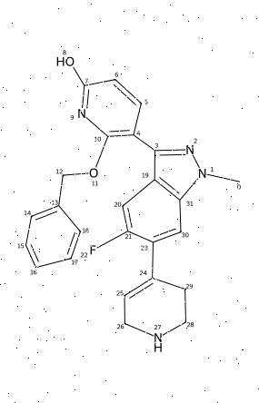 Cn1nc(-c2ccc(O)nc2OCc2ccccc2)c2cc(F)c(C3=CCNCC3)cc21